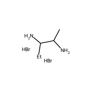 Br.Br.CCC(N)C(C)N